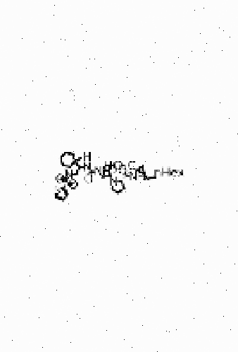 CCCCCC/C=C\C1C[C@]1(NC(=O)[C@@H]1CCCN1C(=O)CNC(=O)NC(CN(C)S(=O)(=O)c1cccs1)C1(C)CCCCC1)C(=O)O